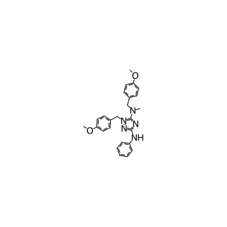 COc1ccc(CN(C)c2nc(Nc3ccccc3)nn2Cc2ccc(OC)cc2)cc1